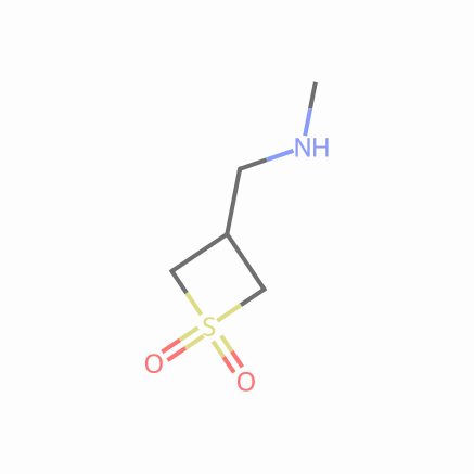 CNCC1CS(=O)(=O)C1